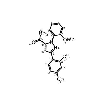 COc1ccccc1-n1nc(-c2ccc(O)cc2O)cc1C(N)=O